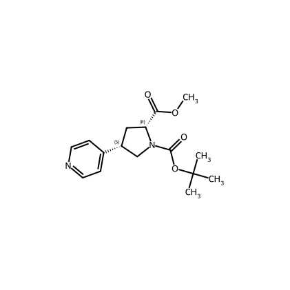 COC(=O)[C@H]1C[C@@H](c2ccncc2)CN1C(=O)OC(C)(C)C